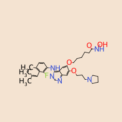 CC(C)=Cc1c(C)ccc(Nc2ncnc3cc(OCCCN4CCCC4)c(OCCCCCC(=O)NO)cc23)c1F